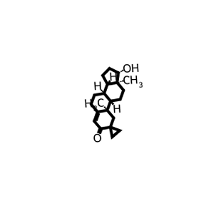 C[C@]12CC[C@H]3[C@@H](CCC4=CC(=O)C5(CC5)C[C@@]43C)[C@@H]1CC[C@@H]2O